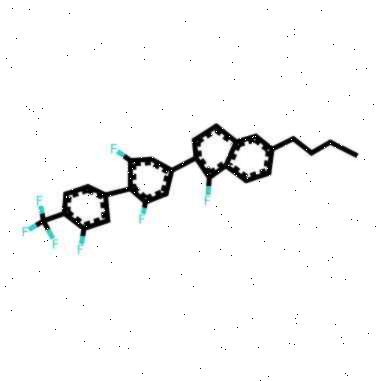 CCCCc1ccc2c(F)c(-c3cc(F)c(-c4ccc(C(F)(F)F)c(F)c4)c(F)c3)ccc2c1